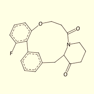 O=C1CCCN2C(=O)CCOc3cccc(F)c3-c3cccc(c3)CC12